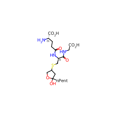 CCCCCC1(O)CC(SC[C@@H](NC(=O)CC[C@H](N)C(=O)O)C(=O)NCC(=O)O)CO1